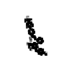 COc1ccc(Cn2nc(N3CCCC[C@H]3CCC(=O)N3CCN(c4ncc(C(F)(F)F)cn4)CC3)cc(C(F)(F)F)c2=O)cc1